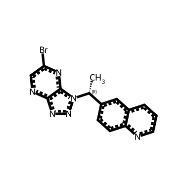 C[C@H](c1ccc2ncccc2c1)n1nnc2ncc(Br)nc21